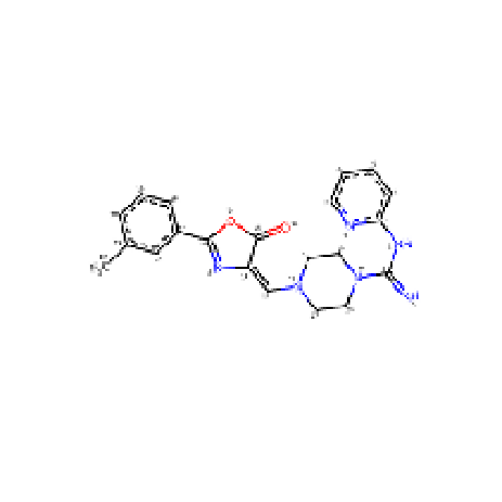 N=C(Nc1ccccn1)N1CCN(C=C2N=C(c3cccc(C(F)(F)F)c3)OC2=O)CC1